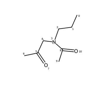 CCCN([CH]C(C)=O)C(C)=O